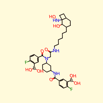 O=C(CN(C(=O)c1ccc(F)c(B(O)O)c1)C1CCCC(NC(=O)c2ccc(F)c(B(O)O)c2)C1)NCCCCCCC1CCC2CCC2(NO)C1O